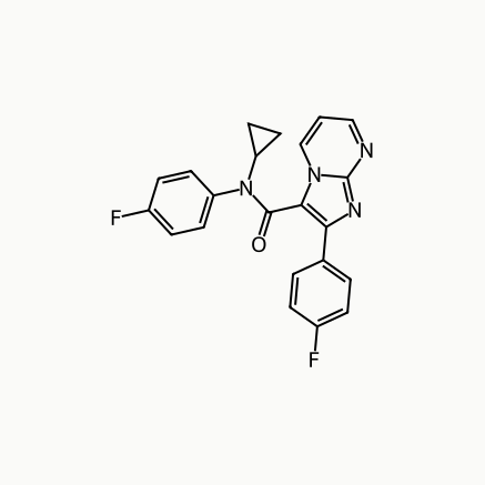 O=C(c1c(-c2ccc(F)cc2)nc2ncccn12)N(c1ccc(F)cc1)C1CC1